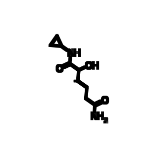 NC(=O)CC[CH]C(O)C(=O)NC1CC1